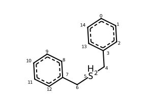 c1ccc(C[SH2]Cc2ccccc2)cc1